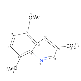 COc1ccc(OC)c2ncc(C(=O)O)cc12